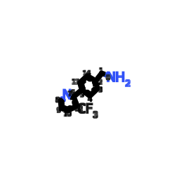 NCc1ccc(-c2ncccc2C(F)(F)F)cc1